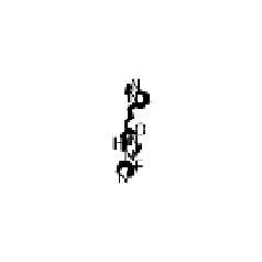 O=C1C(CCCc2cccc3nccn23)C[C@H]2CN(c3ccncc3F)CCN12